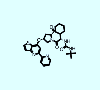 CC(C)(C)NC(=O)N[C@H](C(=O)N1C[C@H](Oc2cc(-c3ccccn3)nc3ccsc23)C[C@H]1C=O)C1CCCCC1